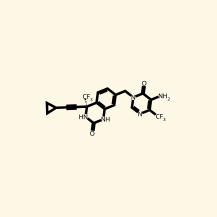 Nc1c(C(F)(F)F)ncn(Cc2ccc3c(c2)NC(=O)N[C@]3(C#CC2CC2)C(F)(F)F)c1=O